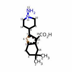 CC1(C)CCc2sc(C3CCN(N)CC3)c(C(=O)O)c2C1